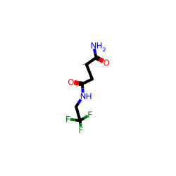 NC(=O)[CH]CC(=O)NCC(F)(F)F